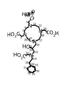 O=C(O)CN1CCN(CO[PH](=O)O)CCN(CC(=O)O)CCN(CC(O)CN(CCc2ccccc2)CC(=O)O)CC1